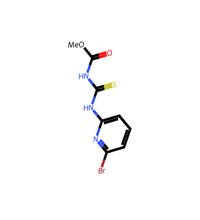 COC(=O)NC(=S)Nc1cccc(Br)n1